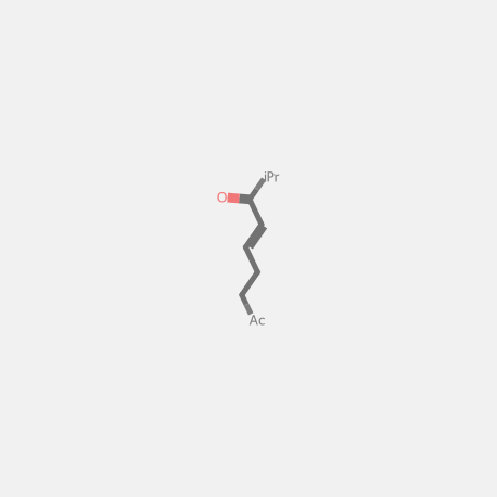 CC(=O)CC/C=C/C(=O)C(C)C